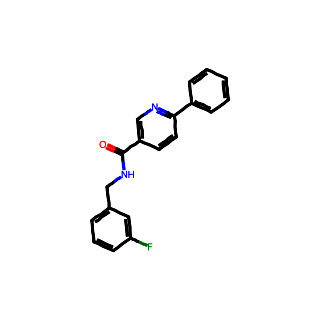 O=C(NCc1cccc(F)c1)c1ccc(-c2ccccc2)nc1